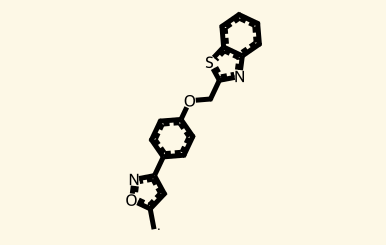 [CH2]c1cc(-c2ccc(OCc3nc4ccccc4s3)cc2)no1